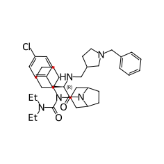 CCN(CC)C(=O)N(C1CCCCC1)C1CC2CCC(C1)N2C(=O)[C@@H](Cc1ccc(Cl)cc1)NCC1CCN(Cc2ccccc2)C1